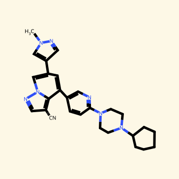 Cn1cc(-c2cc(-c3ccc(N4CCN(C5CCCCC5)CC4)nc3)c3c(C#N)cnn3c2)cn1